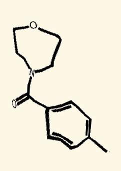 [CH2]c1ccc(C(=O)N2CCOCC2)cc1